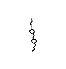 C=CCCC1CCC(CCC2CCC(OC=CCC)CC2)CC1